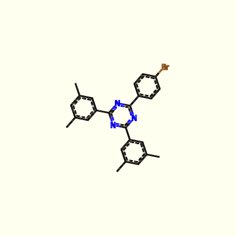 Cc1cc(C)cc(-c2nc(-c3ccc(Br)cc3)nc(-c3cc(C)cc(C)c3)n2)c1